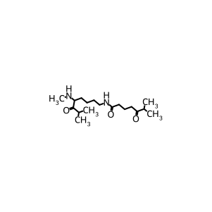 CNC(CCCCNC(=O)CCCC(=O)C(C)C)C(=O)C(C)C